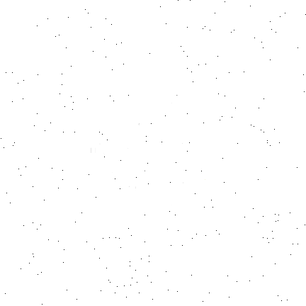 CC(=S)c1cccc(C)c1.CC1CC1